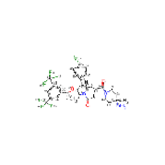 C[C@@H](O[C@H]1CN2C(=O)CC(C(=O)N3CCC(C)(N)CC3)C[C@H]2[C@@H]1c1ccc(F)cc1)c1cc(C(F)(F)F)cc(C(F)(F)F)c1